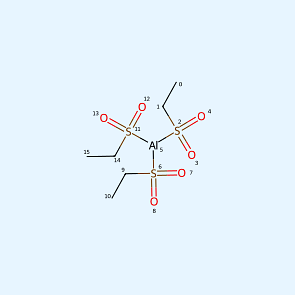 CC[S](=O)(=O)[Al]([S](=O)(=O)CC)[S](=O)(=O)CC